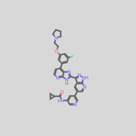 O=C(Nc1cncc(-c2cnc3[nH]nc(-c4nc5c(-c6cc(F)cc(OCCN7CCCC7)c6)ccnc5[nH]4)c3c2)c1)C1CC1